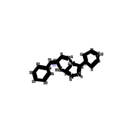 C1=Nn2c(nnc2-c2ccncc2)S/C1=C\c1ccccc1